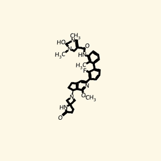 COc1nc(-c2cccc(-c3cccc(NC(=O)C4=CN(C)C(O)N(C)C4)c3C)c2F)cc2c1[C@@H](N1CC3(CCC(=O)N3)C1)CC2